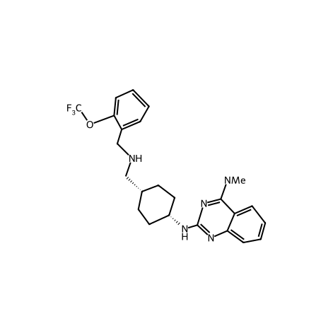 CNc1nc(N[C@H]2CC[C@@H](CNCc3ccccc3OC(F)(F)F)CC2)nc2ccccc12